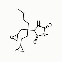 CCCCC(CCC1CO1)(CC1CO1)C1NC(=O)NC1=O